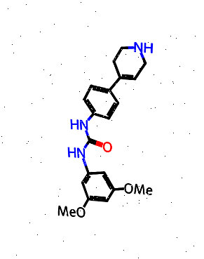 COc1cc(NC(=O)Nc2ccc(C3=CCNCC3)cc2)cc(OC)c1